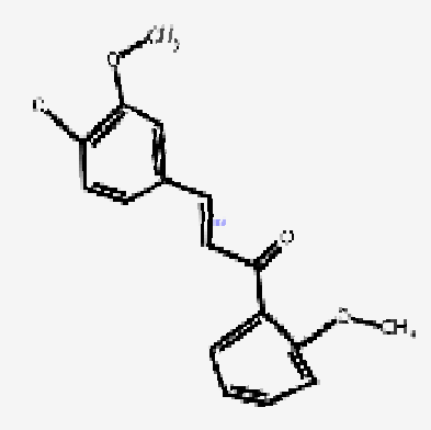 COc1cc(/C=C/C(=O)c2ccccc2OC)ccc1O